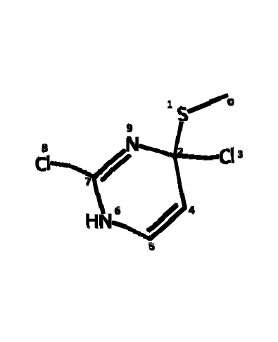 CSC1(Cl)C=CNC(Cl)=N1